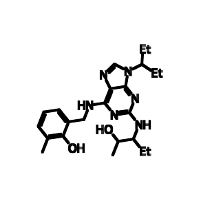 CCC(Nc1nc(NCc2cccc(C)c2O)c2ncn(C(CC)CC)c2n1)C(C)O